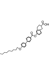 CCCCCCCCCOc1ccc(-c2ccc(C(=O)Oc3ccc4c(c3)CCC(C(=O)O)C4)cc2)cc1